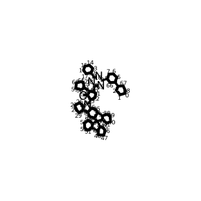 c1ccc(-c2cccc(-c3nc(-c4ccccc4)nc(-c4ccc(-n5c6ccccc6c6cc7c(cc65)-c5ccccc5C75c6ccccc6-c6ccccc65)c5oc6ccccc6c45)n3)c2)cc1